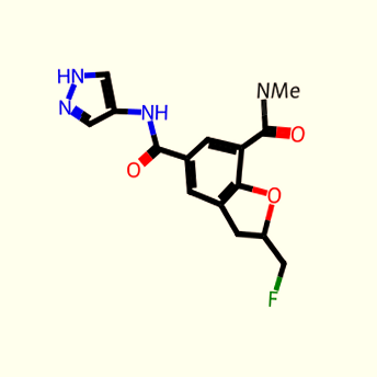 CNC(=O)c1cc(C(=O)Nc2cn[nH]c2)cc2c1OC(CF)C2